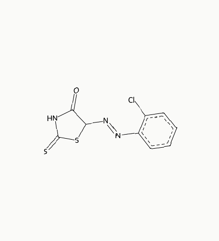 O=C1NC(=S)SC1N=Nc1ccccc1Cl